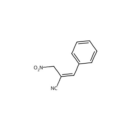 N#C/C(=C/c1ccccc1)C[N+](=O)[O-]